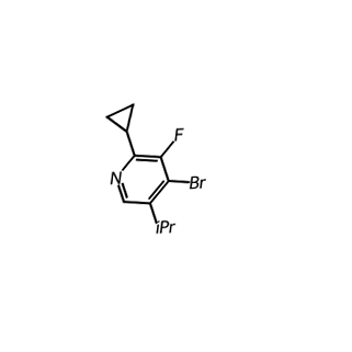 CC(C)c1cnc(C2CC2)c(F)c1Br